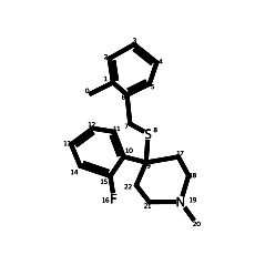 Cc1ccccc1CSC1(c2ccccc2F)CCN(C)CC1